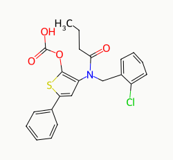 CCCC(=O)N(Cc1ccccc1Cl)c1cc(-c2ccccc2)sc1OC(=O)O